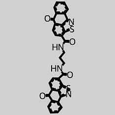 O=C(NCCCNC(=O)c1ccc2c3c(nsc13)-c1ccccc1C2=O)c1ccc2c3c(nsc13)-c1ccccc1C2=O